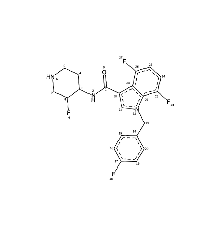 O=C(NC1CCNCC1F)c1cn(Cc2ccc(F)cc2)c2c(F)ccc(F)c12